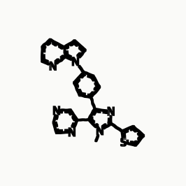 Cn1c(-c2cccs2)nc(-c2ccc(-n3ccc4cccnc43)cc2)c1-c1cnccn1